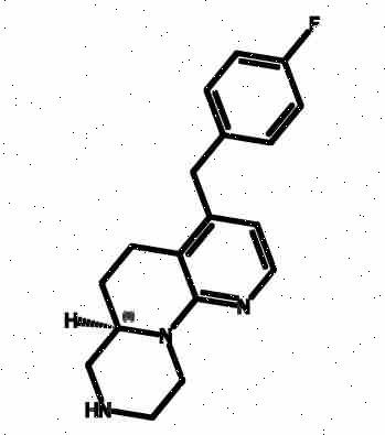 Fc1ccc(Cc2ccnc3c2CC[C@@H]2CNCCN32)cc1